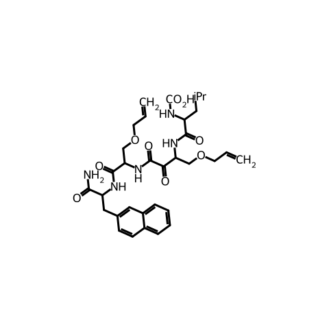 C=CCOCC(NC(=O)C(=O)C(COCC=C)NC(=O)C(CC(C)C)NC(=O)O)C(=O)NC(Cc1ccc2ccccc2c1)C(N)=O